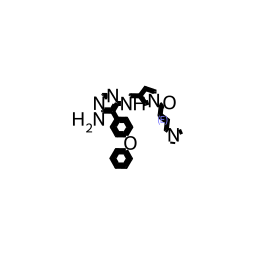 CN(C)C/C=C/C(=O)N1CCC(CNc2ncnc(N)c2-c2ccc(Oc3ccccc3)cc2)C1